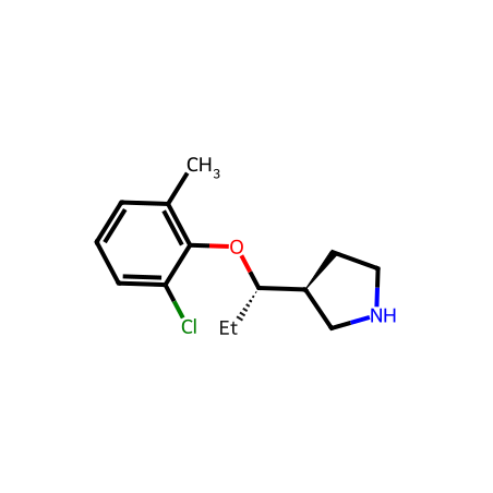 CC[C@H](Oc1c(C)cccc1Cl)[C@H]1CCNC1